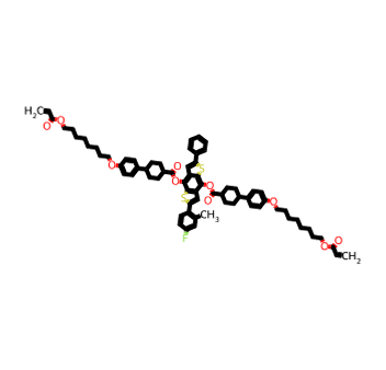 C=CC(=O)OCCCCCCCCOc1ccc(C2CCC(C(=O)Oc3c4cc(-c5ccc(F)cc5C)sc4c(OC(=O)C4CCC(c5ccc(OCCCCCCCCOC(=O)C=C)cc5)CC4)c4cc(-c5ccccc5)sc34)CC2)cc1